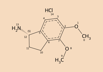 COc1ccc2c(c1OC)CC[C@@H]2N.Cl